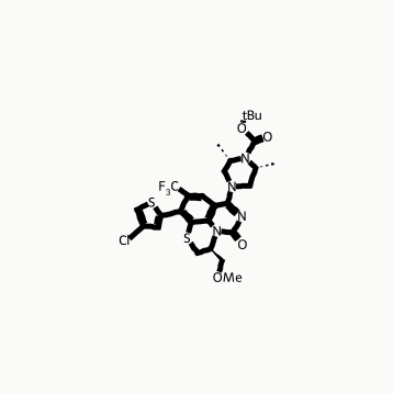 COC[C@H]1CSc2c(-c3cc(Cl)cs3)c(C(F)(F)F)cc3c(N4C[C@@H](C)N(C(=O)OC(C)(C)C)[C@@H](C)C4)nc(=O)n1c23